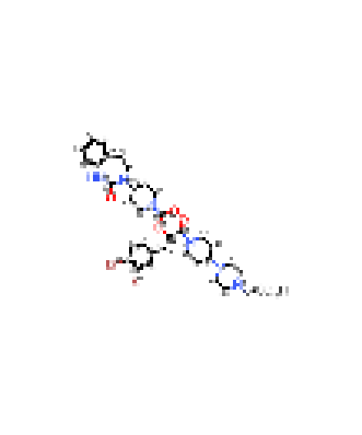 O=C(O)CN1CCN(C2CCN(C(=O)[C@@H](Cc3ccc(Br)c(Br)c3)OC(=O)N3CCC(N4CCc5ccccc5NC4=O)CC3)CC2)CC1